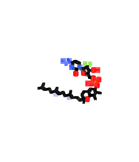 CC(C)=CCC/C(C)=C/CC/C(C)=C/CCC1(C)CCc2cc(OP(=O)(O)OC[C@H]3O[C@@H](n4ccc(N)nc4=O)C(F)(F)C3O)c(C)c(C)c2O1